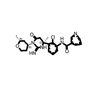 C[C@@H]1C[C@H](N2C(=N)N[C@](C)(c3cccc(NC(=O)c4cccnc4)c3Cl)CC2=O)CCO1